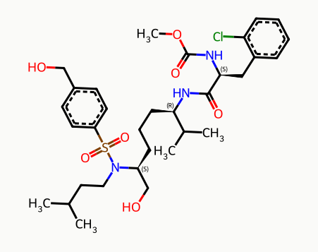 COC(=O)N[C@@H](Cc1ccccc1Cl)C(=O)N[C@H](CCC[C@@H](CO)N(CCC(C)C)S(=O)(=O)c1ccc(CO)cc1)C(C)C